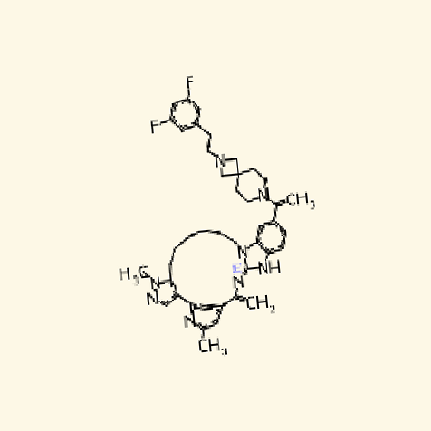 C=C1/N=C2\Nc3ccc(C(=C)N4CCC5(CC4)CN(CCc4cc(F)cc(F)c4)C5)cc3N2CCCCCCc2c(cnn2C)-c2cc1cc(C)n2